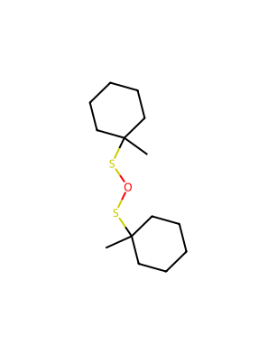 CC1(SOSC2(C)CCCCC2)CCCCC1